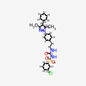 Cc1nn(-c2ccc(CCNC(=O)NS(=O)(=O)c3cccc(Cl)c3)cc2)c(C)c1-c1ccccc1